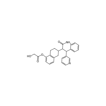 NC(=O)C(C1CCc2c(cccc2OC(=O)CO)C1)C(c1ccccc1)c1cccnc1